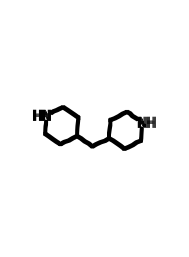 C1CC(CC2CCNCC2)CCN1